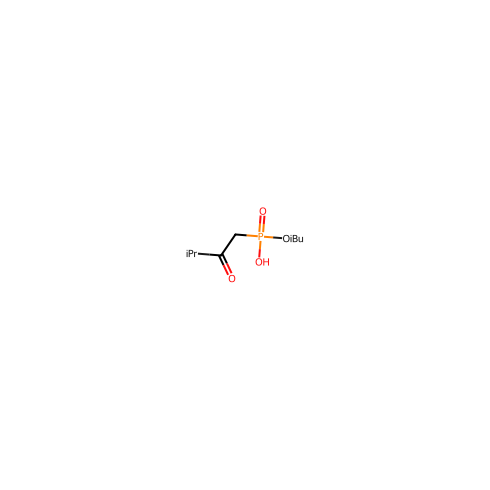 CC(C)COP(=O)(O)CC(=O)C(C)C